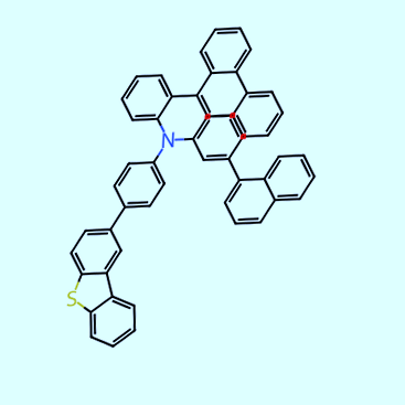 c1cc(-c2cccc3ccccc23)cc(N(c2ccc(-c3ccc4sc5ccccc5c4c3)cc2)c2ccccc2-c2cc3ccccc3c3ccccc23)c1